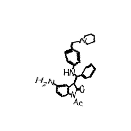 CC(=O)N1C(=O)C(=C(Nc2ccc(CN3CCCCC3)cc2)c2ccccc2)c2cc(N)ccc21